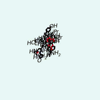 CC(=O)O.CCNC(=O)C1CCCN1C(=O)C(CCCN=C(N)N)NC(=O)C(NC(=O)C(NC(=O)C(Cc1ccc(O)cc1)NC(=O)C(CO)NC(=O)C(Cc1c[nH]c2ccccc12)NC(=O)C(Cc1cnc[nH]1)NC(=O)C1CCC(=O)N1)C(C)C)C(C)C.Cl